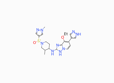 CCOC1=C(c2cn[nH]c2)C=CN2NC(NC3CCN([S+]([O-])c4cnn(C)c4)CC3C)N=C12